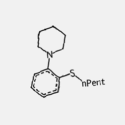 CCCCCSc1ccccc1N1CCCCC1